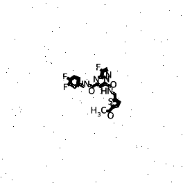 CC(=O)c1ccc(CNC(=O)c2cc(C(=O)NCc3ccc(F)c(F)c3)nc3c(F)cnn23)s1